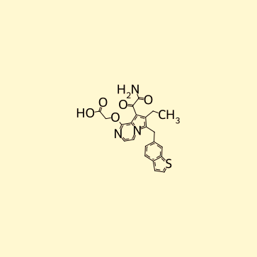 CCc1c(C(=O)C(N)=O)c2c(OCC(=O)O)nccn2c1Cc1ccc2ccsc2c1